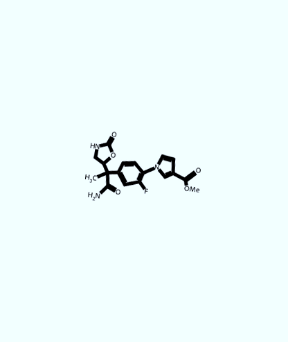 COC(=O)c1ccn(-c2ccc(C(C)(C(N)=O)C3CNC(=O)O3)cc2F)c1